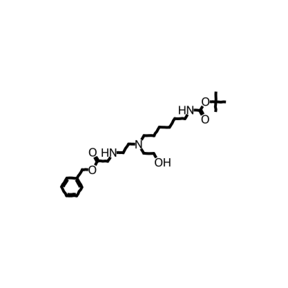 CC(C)(C)OC(=O)NCCCCCCN(CCO)CCNCC(=O)OCc1ccccc1